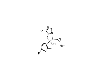 CC(C1CC1)C(O)(Cn1ncnc1[S-])c1ccc(F)cc1F.[Na+]